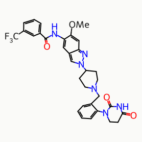 COc1cc2nn(C3CCN(Cc4ccccc4N4CCC(=O)NC4=O)CC3)cc2cc1NC(=O)c1cccc(C(F)(F)F)c1